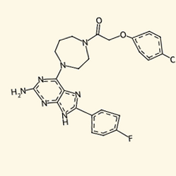 Nc1nc(N2CCCN(C(=O)COc3ccc(Cl)cc3)CC2)c2nc(-c3ccc(F)cc3)[nH]c2n1